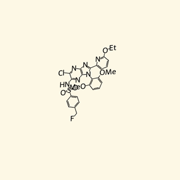 CCOc1cccc(-c2nc3nc(Cl)c(NS(=O)(=O)c4ccc(CF)cc4)nc3n2-c2c(OC)cccc2OC)n1